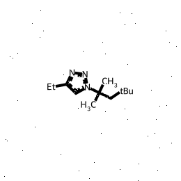 CCc1cn(C(C)(C)CC(C)(C)C)nn1